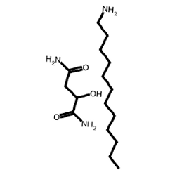 CCCCCCCCCCCCN.NC(=O)CC(O)C(N)=O